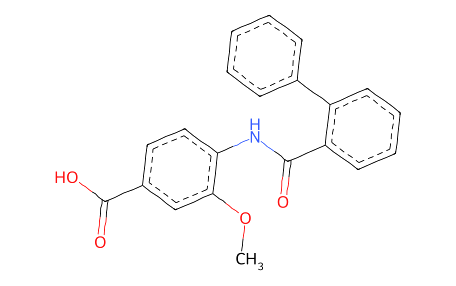 COc1cc(C(=O)O)ccc1NC(=O)c1ccccc1-c1ccccc1